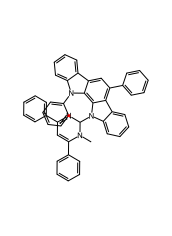 CN1C(c2ccccc2)=CC(c2ccccc2)=NC1n1c2ccccc2c2c(-c3ccccc3)cc3c4ccccc4n(-c4ccccc4)c3c21